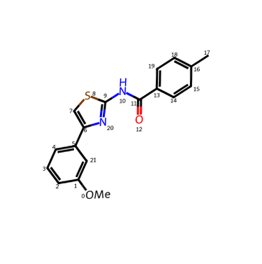 COc1cccc(-c2csc(NC(=O)c3ccc(C)cc3)n2)c1